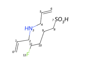 C=CCNCC=C.O=S(=O)(O)CCCCF